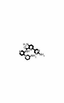 Nc1ncc(-c2ccc(N)c(C(=O)Nc3cnccc3N3CCC[C@H](N)C3)n2)cn1